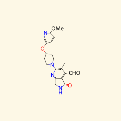 COc1ccc(OC2CCN(c3nc4c(c(C=O)c3C)C(=O)NC4)CC2)cn1